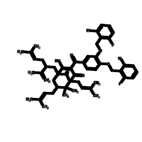 C=C(C)C(CC=C(C)C)CC12CC(CC=C(C)C)C(C)(C)C(CC=C(C)C)(C(=O)C(C(=O)c3ccc(OCc4c(F)cccc4Cl)c(OCc4c(F)cccc4Cl)c3)=C1O)C2=O